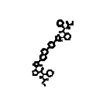 COC(=O)N[C@H](C(=O)N1CCC[C@H]1c1ncc(-c2ccc3cc(-c4ccc(-c5cnc([C@@H]6COCCN6C(=O)[C@H](NC(=O)OC)c6ccccc6)[nH]5)cc4)ccc3c2)[nH]1)C1CCOCC1